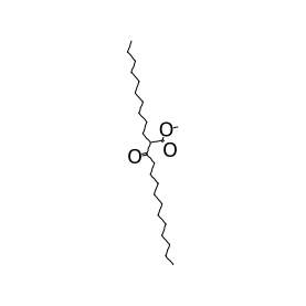 CCCCCCCCCCCC(=O)C(CCCCCCCCCC)C(=O)OC